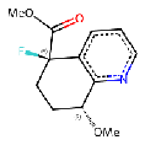 COC(=O)[C@@]1(F)CC[C@@H](OC)c2ncccc21